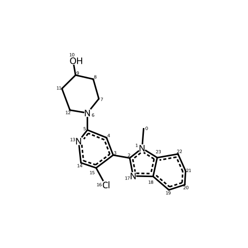 Cn1c(-c2cc(N3CCC(O)CC3)ncc2Cl)nc2ccccc21